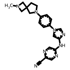 CN1CC2(CCN(c3ccc(-n4cnc(Nc5cnc(C#N)cn5)c4)cc3)C2)C1